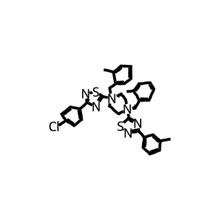 Cc1cccc(-c2nsc([N+]3(Cc4ccccc4C)CC[N+](Cc4ccccc4C)(c4nc(-c5ccc(Cl)cc5)ns4)CC3)n2)c1